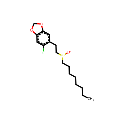 CCCCCCCC[S+]([O-])CCc1cc2c(cc1Cl)OCO2